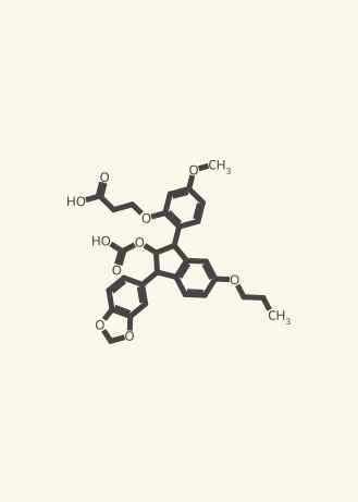 CCCOc1ccc2c(c1)C(c1ccc(OC)cc1OCCC(=O)O)C(OC(=O)O)C2c1ccc2c(c1)OCO2